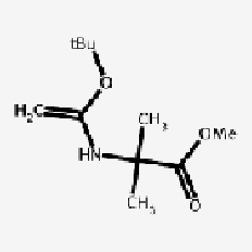 C=C(NC(C)(C)C(=O)OC)OC(C)(C)C